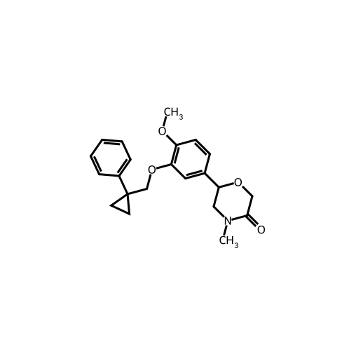 COc1ccc(C2CN(C)C(=O)CO2)cc1OCC1(c2ccccc2)CC1